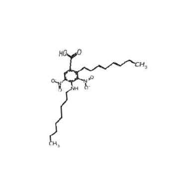 CCCCCCCCNc1c([N+](=O)[O-])cc(C(=O)O)c(CCCCCCCC)c1[N+](=O)[O-]